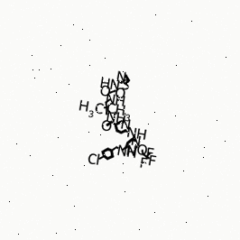 CC(C)(CNC(=O)C(=O)Nc1nccs1)CNC(=O)c1ccc(Nc2cc(NCc3ccc(Cl)cc3)nc(OCC(F)(F)F)n2)nc1